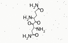 NC(=O)CC[C@H](N)C(=O)C(=O)[C@@H](N)CC(N)=O